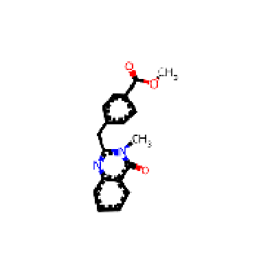 COC(=O)c1ccc(Cc2nc3ccccc3c(=O)n2C)cc1